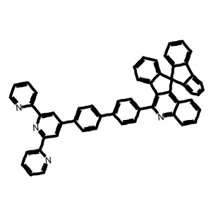 c1ccc(-c2cc(-c3ccc(-c4ccc(-c5nc6ccccc6c6c5-c5ccccc5C65c6ccccc6-c6ccccc65)cc4)cc3)cc(-c3ccccn3)n2)nc1